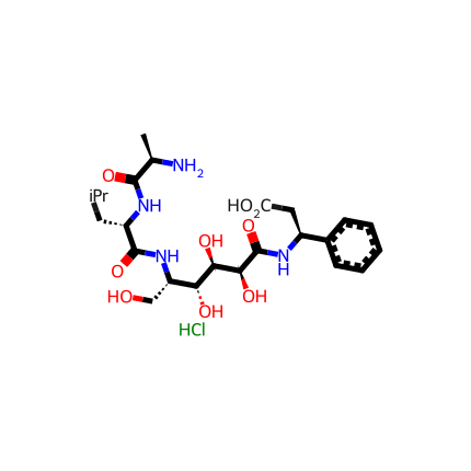 CC(C)C[C@H](NC(=O)[C@@H](C)N)C(=O)N[C@@H](CO)[C@@H](O)[C@@H](O)[C@H](O)C(=O)N[C@@H](CC(=O)O)c1ccccc1.Cl